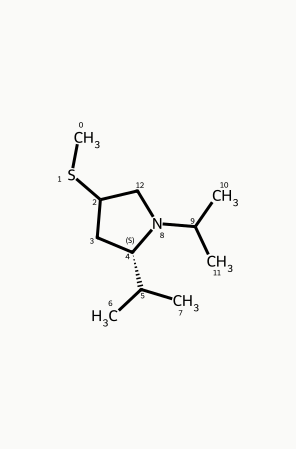 CSC1C[C@@H](C(C)C)N(C(C)C)C1